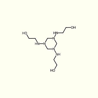 OCCNN1CN(NCCO)CN(NCCO)C1